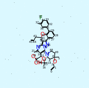 C=CCOC1(C)CCN(c2c(C(OC(C)(C)C)C(=O)O)c(C)nc3cc(-c4cccc(-c5ccc(F)c(C)c5)c4O[C@@H](C)CC=C)nn23)CC1